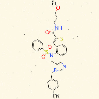 CC(C)OCCCNC(=O)c1cc2c(N(Cc3cncn3Cc3ccc(C#N)cc3)S(=O)(=O)c3ccccc3)cccc2s1